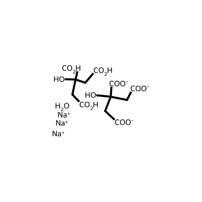 O.O=C(O)CC(O)(CC(=O)O)C(=O)O.O=C([O-])CC(O)(CC(=O)[O-])C(=O)[O-].[Na+].[Na+].[Na+]